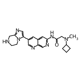 CN(CC(=O)Nc1cc2cc(-c3cnc4n3CCNC4)cnc2cn1)C1CCC1